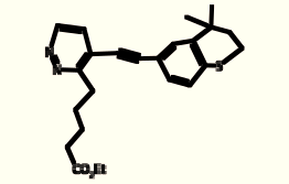 CCOC(=O)CCCCc1nnccc1C#Cc1ccc2c(c1)C(C)(C)CCS2